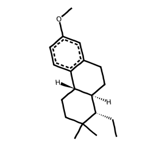 CC[C@H]1[C@@H]2CCc3cc(OC)ccc3[C@H]2CCC1(C)C